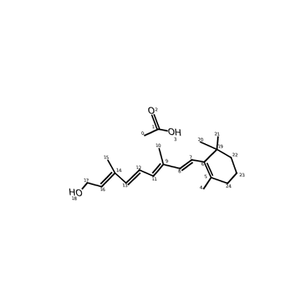 CC(=O)O.CC1=C(/C=C/C(C)=C/C=C/C(C)=C/CO)C(C)(C)CCC1